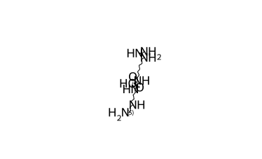 C[C@H](N)CCNCCCCNC(=O)[C@H](O)NC(=O)CCCCCCNC(=N)N